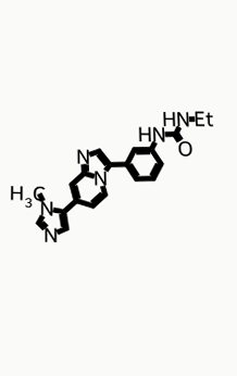 CCNC(=O)Nc1cccc(-c2cnc3cc(-c4cncn4C)ccn23)c1